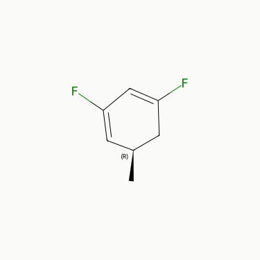 C[C@H]1C=C(F)C=C(F)C1